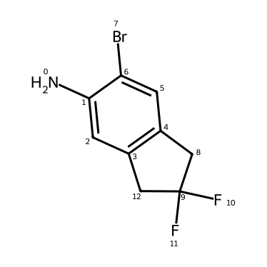 Nc1cc2c(cc1Br)CC(F)(F)C2